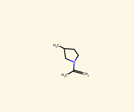 C=C(C)N1CCC(C)C1